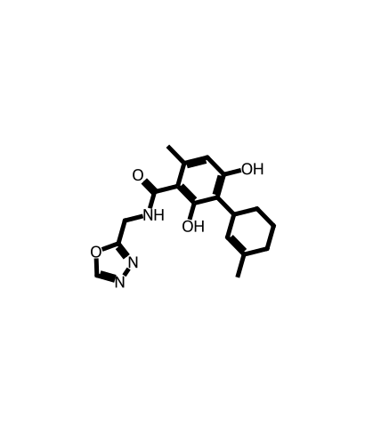 CC1=CC(c2c(O)cc(C)c(C(=O)NCc3nnco3)c2O)CCC1